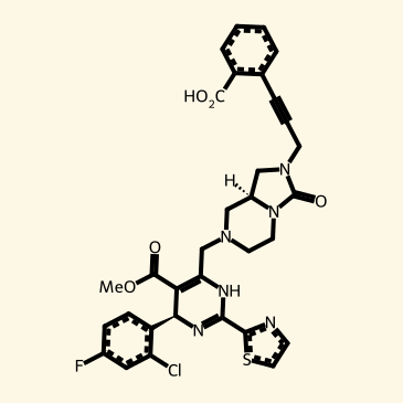 COC(=O)C1=C(CN2CCN3C(=O)N(CC#Cc4ccccc4C(=O)O)C[C@@H]3C2)NC(c2nccs2)=N[C@H]1c1ccc(F)cc1Cl